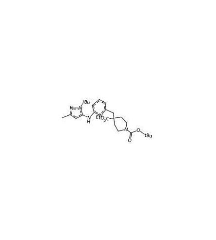 CCOC(=O)C1(Cc2cccc(Nc3cc(C)nn3C(C)(C)C)n2)CCN(C(=O)OC(C)(C)C)CC1